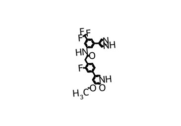 CCOc1cc(-c2ccc(CC(=O)Nc3cc(-c4cn[nH]c4)cc(C(F)(F)F)c3)c(F)c2)c[nH]c1=O